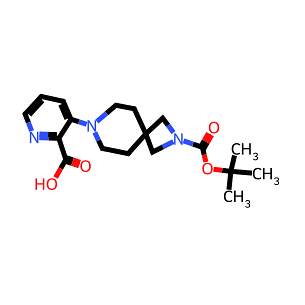 CC(C)(C)OC(=O)N1CC2(CCN(c3cccnc3C(=O)O)CC2)C1